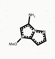 COn1cc(N)n2nccc12